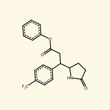 O=C1CCC(C(CC(=O)Oc2ccccc2)c2ccc(C(F)(F)F)cc2)N1